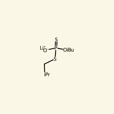 CC(C)COP([O-])(=S)SCC(C)C.[Li+]